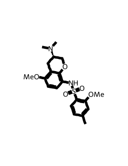 COc1cc(C)ccc1S(=O)(=O)Nc1ccc(OC)c2c1OC[C@H](N(C)C)C2